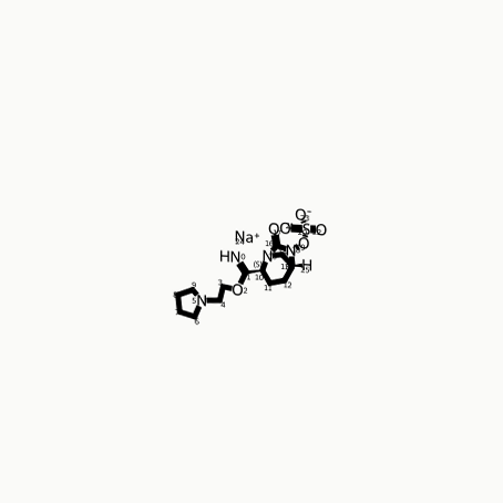 N=C(OCCN1CCCC1)[C@@H]1CC[C@@H]2CN1C(=O)N2OS(=O)(=O)[O-].[Na+]